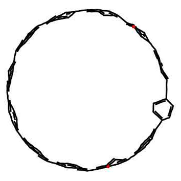 c1cc2ccc1-c1ccc(cc1)-c1ccc(cc1)-c1ccc(cc1)-c1ccc(cc1)-c1ccc(cc1)-c1ccc(cc1)-c1ccc(cc1)-c1ccc(cc1)-c1ccc(cc1)-c1ccc(cc1)-c1ccc-2cc1